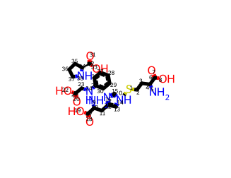 CSCCC(N)C(=O)O.NC(Cc1c[nH]cn1)C(=O)O.O=C(O)CNc1ccccc1.O=C(O)[C@@H]1CCCN1